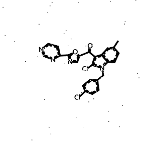 Cc1ccc2c(c1)c(C(=O)c1cnc(-c3ccncn3)o1)c(Cl)n2Cc1ccc(Cl)cc1